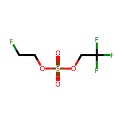 O=S(=O)(OCCF)OCC(F)(F)F